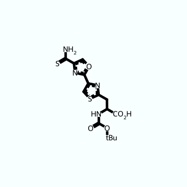 CC(C)(C)OC(=O)NC(Cc1nc(-c2nc(C(N)=S)co2)cs1)C(=O)O